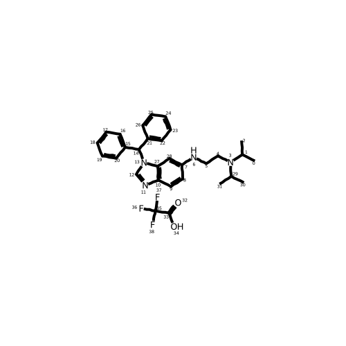 CC(C)N(CCNc1ccc2ncn(C(c3ccccc3)c3ccccc3)c2c1)C(C)C.O=C(O)C(F)(F)F